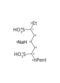 [CH2]CC(CCCC(CCCCC)S(=O)(=O)O)S(=O)(=O)O.[NaH]